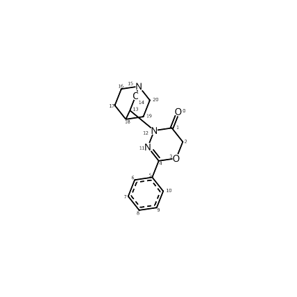 O=C1COC(c2ccccc2)=NN1C1CN2CCC1CC2